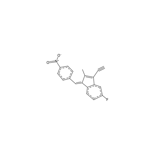 C#CC1=C(C)C(=Cc2ccc([N+](=O)[O-])cc2)c2ccc(F)cc21